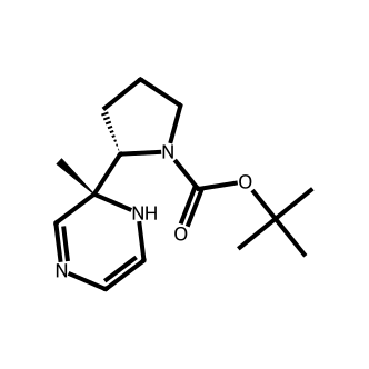 CC(C)(C)OC(=O)N1CCC[C@H]1[C@@]1(C)C=NC=CN1